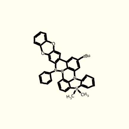 CC(C)(C)c1cc2c3c(c1)N1c4ccccc4[Si](C)(C)c4cccc(c41)B3N(c1ccccc1)c1cc3c(cc1-2)Oc1ccccc1O3